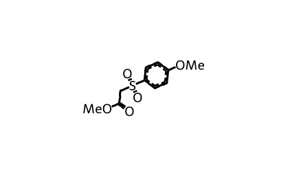 COC(=O)CS(=O)(=O)c1ccc(OC)cc1